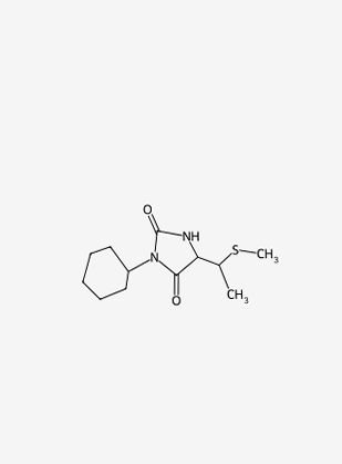 CSC(C)C1NC(=O)N(C2CCCCC2)C1=O